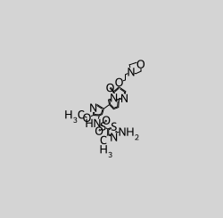 COc1ncc(-c2ccc3ncc(OCCN4CCOCC4)c(=O)n3c2)cc1NS(=O)(=O)c1sc(N)nc1C